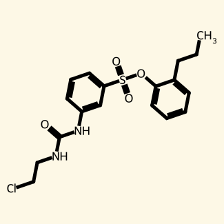 CCCc1ccccc1OS(=O)(=O)c1cccc(NC(=O)NCCCl)c1